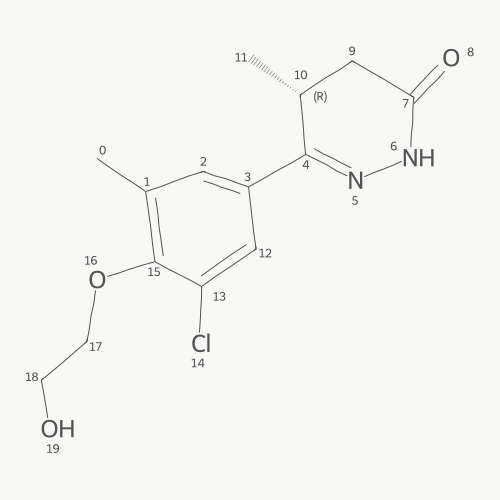 Cc1cc(C2=NNC(=O)C[C@H]2C)cc(Cl)c1OCCO